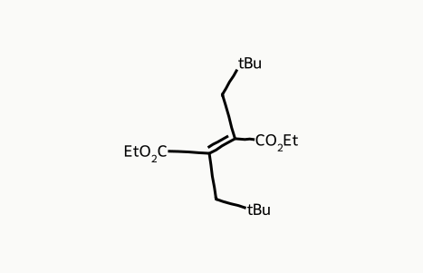 CCOC(=O)C(CC(C)(C)C)=C(CC(C)(C)C)C(=O)OCC